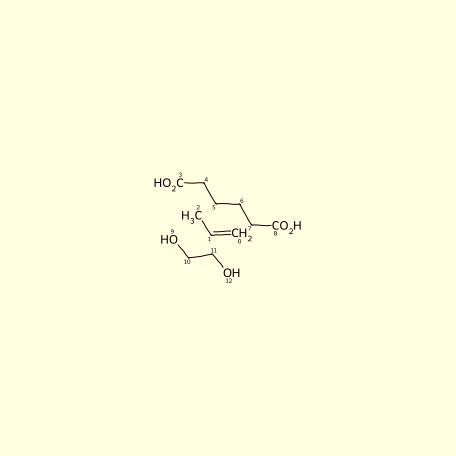 C=CC.O=C(O)CCCCC(=O)O.OCCO